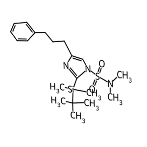 CN(C)S(=O)(=O)n1cc(CCCc2ccccc2)nc1[Si](C)(C)C(C)(C)C